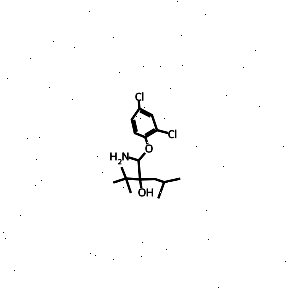 CC(C)CC(O)(C(N)Oc1ccc(Cl)cc1Cl)C(C)(C)C